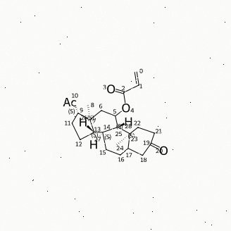 C=CC(=O)OC1C[C@]2(C)[C@@H](C(C)=O)CC[C@H]2[C@@H]2CCC3CC(=O)CC[C@]3(C)[C@@H]12